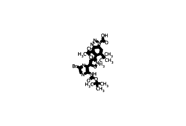 CC(C)(C)OC(=O)Nc1ncc(Br)nc1-c1cc(-c2c(C(C)(C)C)cc3c(nnn3C(=O)O)c2C(C)(C)C)no1